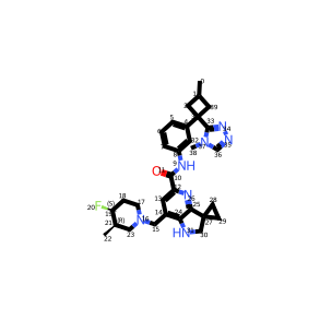 CC1CC(c2cccc(NC(=O)c3cc(CN4CC[C@H](F)[C@H](C)C4)c4c(n3)C3(CC3)CN4)c2)(c2nncn2C)C1